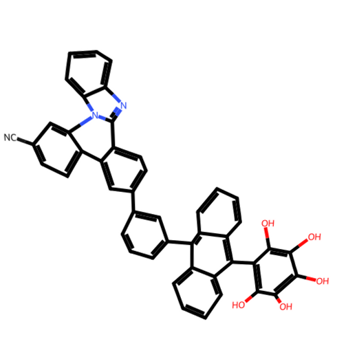 N#Cc1ccc2c3cc(-c4cccc(-c5c6ccccc6c(-c6c(O)c(O)c(O)c(O)c6O)c6ccccc56)c4)ccc3c3nc4ccccc4n3c2c1